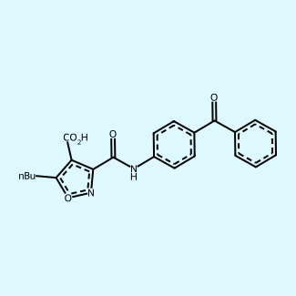 CCCCc1onc(C(=O)Nc2ccc(C(=O)c3ccccc3)cc2)c1C(=O)O